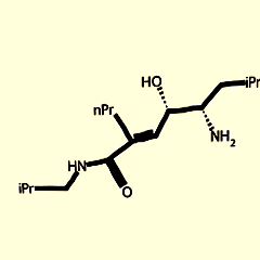 CCC/C(=C\[C@H](O)[C@@H](N)CC(C)C)C(=O)NCC(C)C